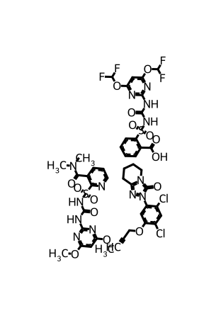 C#CCOc1cc(-n2nc3n(c2=O)CCCC3)c(Cl)cc1Cl.COc1cc(OC)nc(NC(=O)NS(=O)(=O)c2ncccc2C(=O)N(C)C)n1.O=C(Nc1nc(OC(F)F)cc(OC(F)F)n1)NS(=O)(=O)c1ccccc1C(=O)O